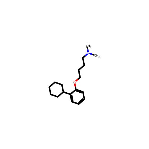 CN(C)CCCCOc1ccccc1C1CCCCC1